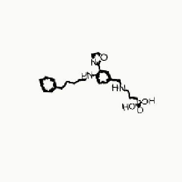 O=P(O)(O)CCCNCc1ccc(NCCCCCc2ccccc2)c(-c2ncco2)c1